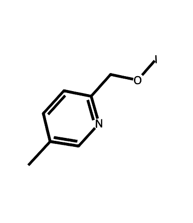 Cc1ccc(COI)nc1